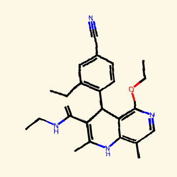 C=C(NCC)C1=C(C)Nc2c(C)cnc(OCC)c2C1c1ccc(C#N)cc1CC